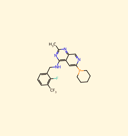 Cc1nc(NCc2cccc(C(F)(F)F)c2F)c2cc(P3CCCCC3)ncc2n1